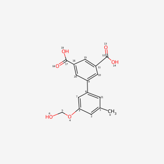 Cc1cc(OCO)cc(-c2cc(C(=O)O)cc(C(=O)O)c2)c1